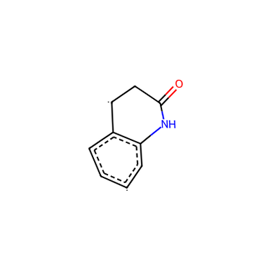 O=C1C[CH]c2cc[c]cc2N1